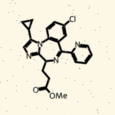 COC(=O)CCC1N=C(c2ccccn2)c2cc(Cl)ccc2-n2c(C3CC3)cnc21